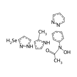 CC(=O)N(O)c1ccccc1.Cc1ccc[nH]1.[SeH2].c1ccnnc1.c1cn[nH]c1